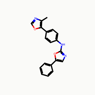 Cc1ncoc1-c1ccc(Nc2ncc(-c3ccccc3)o2)cc1